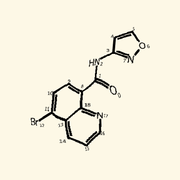 O=C(Nc1ccon1)c1ccc(Br)c2cccnc12